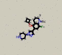 CC(=O)N1c2c(F)cc(-c3cnn(C4CCNCC4)c3)c(OC3CCC3)c2CC[C@@H]1C